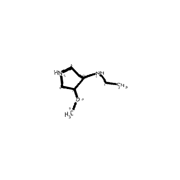 CCNC1CNCC1OC